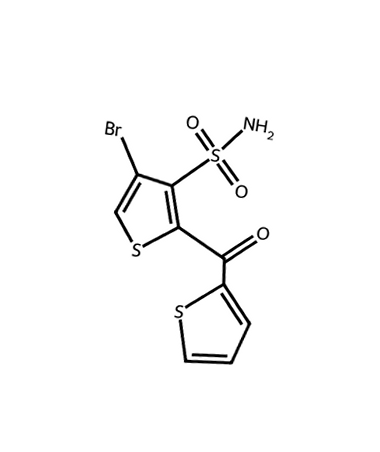 NS(=O)(=O)c1c(Br)csc1C(=O)c1cccs1